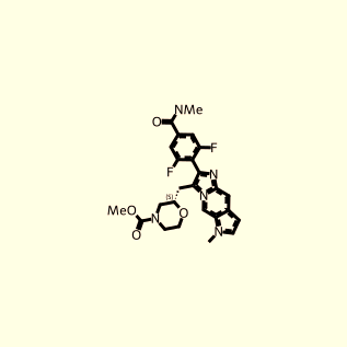 CNC(=O)c1cc(F)c(-c2nc3cc4ccn(C)c4cn3c2C[C@H]2CN(C(=O)OC)CCO2)c(F)c1